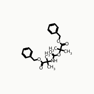 CC(C)(NC(=O)OC(C)(C)C(=O)OCc1ccccc1)C(=O)OCc1ccccc1